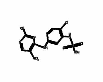 CC(C)(C)S(=O)(=O)Nc1cc(Nc2nc(Cl)ncc2[N+](=O)[O-])ccc1Cl